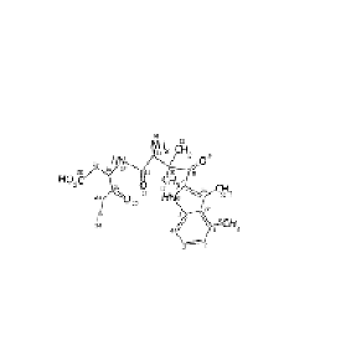 Cc1cccc2[nH]c(C(=O)C(C)(C)[C@H](N)C(=O)NC(CC(=O)O)C(=O)CF)c(C)c12